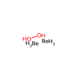 OO.[BeH2].[BeH2]